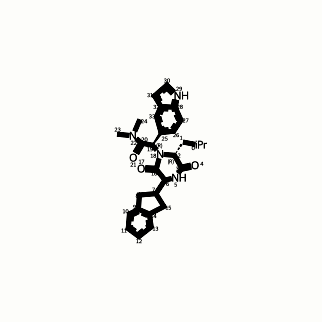 CC(C)C[C@@H]1C(=O)NC(C2Cc3ccccc3C2)C(=O)N1[C@@H](C(=O)N(C)C)c1ccc2[nH]ccc2c1